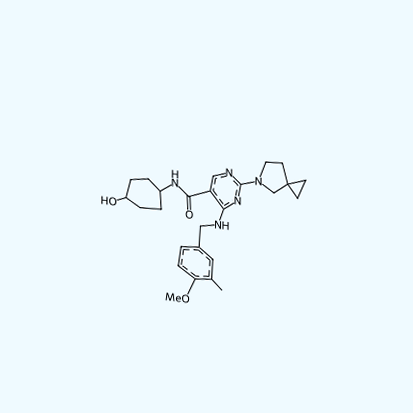 COc1ccc(CNc2nc(N3CCC4(CC4)C3)ncc2C(=O)NC2CCC(O)CC2)cc1C